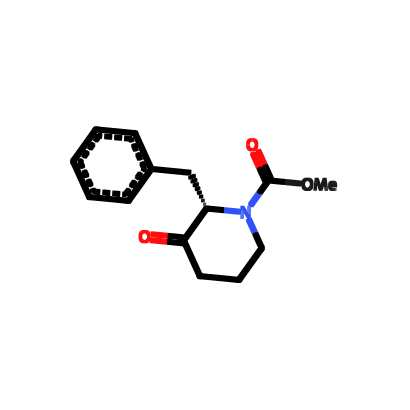 COC(=O)N1CCCC(=O)[C@@H]1Cc1ccccc1